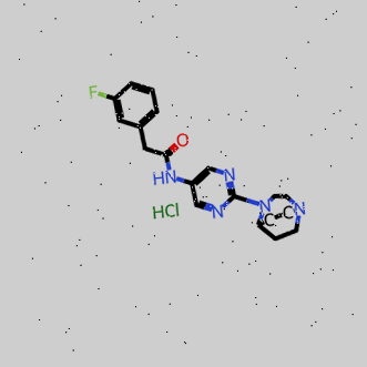 Cl.O=C(Cc1cccc(F)c1)Nc1cnc(N2CCN3CCC2CC3)nc1